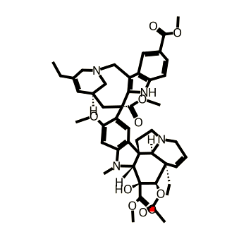 CCC1=C[C@H]2CN(C1)Cc1c([nH]c3ccc(C(=O)OC)cc13)[C@@](C(=O)OC)(c1cc3c(cc1OC)N(C)[C@H]1[C@@](O)(C(=O)OC)[C@H](OC(C)=O)[C@]4(CC)C=CCN5CC[C@]31[C@@H]54)C2